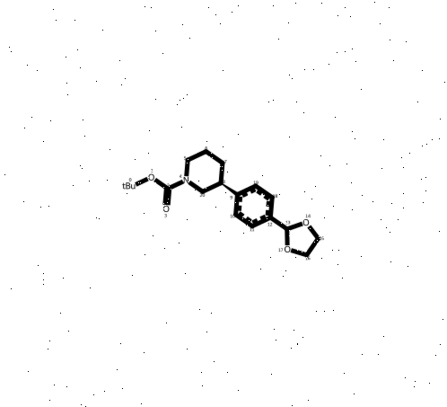 CC(C)(C)OC(=O)N1CCC[C@@H](c2ccc(C3OCCO3)cc2)C1